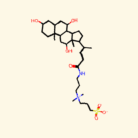 CC(CCC(=O)NCCC[N+](C)(C)CCCS(=O)(=O)[O-])C1CCC2C3C(O)CC4CC(O)CCC4(C)C3CC(O)C12C